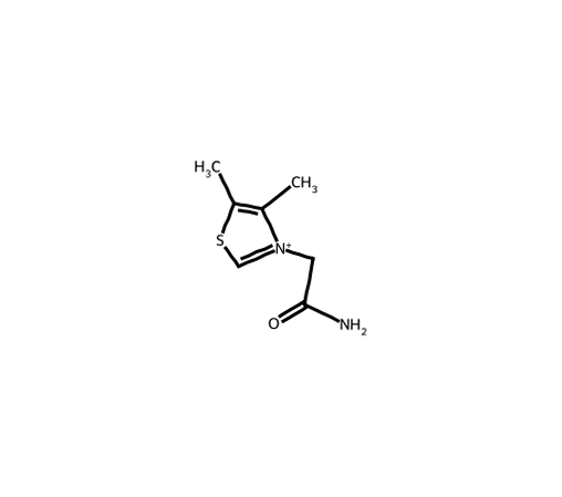 Cc1sc[n+](CC(N)=O)c1C